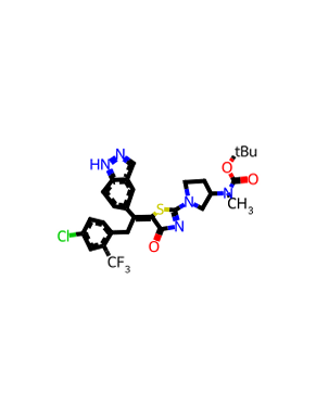 CN(C(=O)OC(C)(C)C)C1CCN(C2=NC(=O)C(=C(Cc3ccc(Cl)cc3C(F)(F)F)c3ccc4[nH]ncc4c3)S2)C1